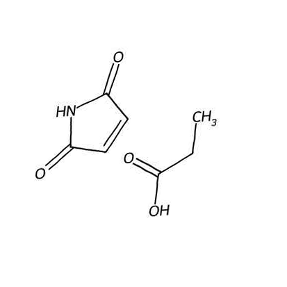 CCC(=O)O.O=C1C=CC(=O)N1